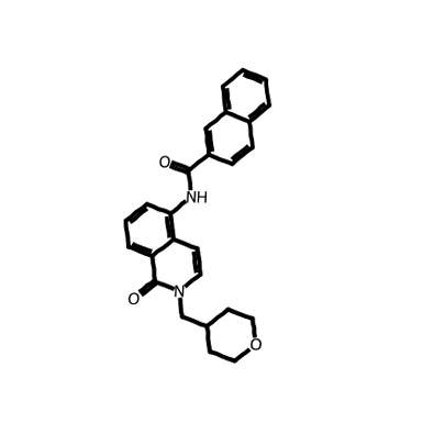 O=C(Nc1cccc2c(=O)n(CC3CCOCC3)ccc12)c1ccc2ccccc2c1